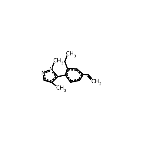 C=Cc1ccc(-c2c(C)cnn2C)c(CC)c1